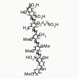 COc1ccc(Nc2ccc3c(O)c(N=Nc4cc(OC)c(N=Nc5cc(C)c(N=Nc6cc(OCCCCS(=O)(=O)O)c(N=Nc7cc8c(O)cc(S(=O)(=O)O)cc8cc7S(=O)(=O)O)cc6C)cc5OC)cc4OC)c(S(=O)(=O)O)cc3c2)cc1